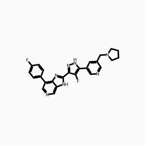 Fc1ccc(-c2cncc3[nH]c(-c4n[nH]c(-c5cncc(CN6CCCC6)c5)c4F)nc23)cc1